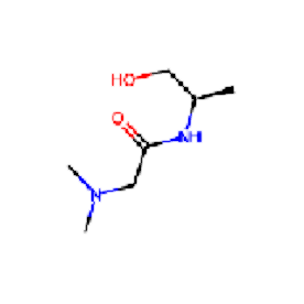 C[C@H](CO)NC(=O)CN(C)C